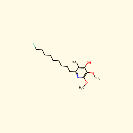 COc1nc(CCCCCCCCCF)c(C)c(O)c1OC